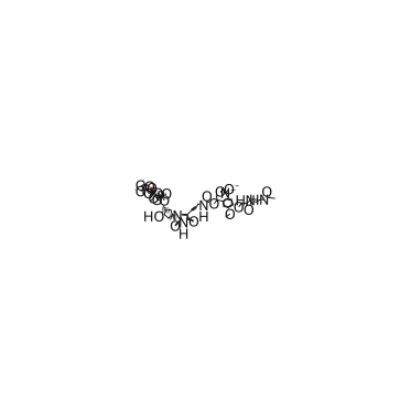 COc1cc(C(C)OC(=O)NCC#Cc2cn([C@H]3CC(O)[C@@H](COP(=O)(OC)OP(=O)(OC)OP(=O)(OC)OC)C3)c(=O)[nH]c2=O)c([N+](=O)[O-])cc1OCC(=O)NCCNC(C)=O